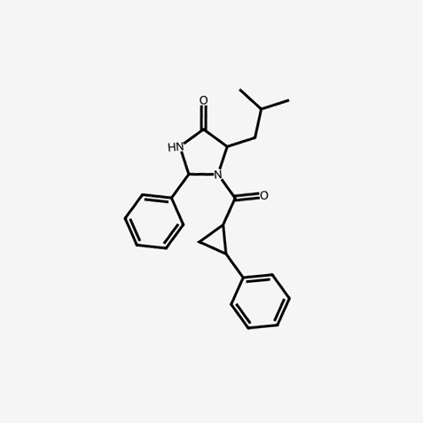 CC(C)CC1C(=O)NC(c2ccccc2)N1C(=O)C1CC1c1ccccc1